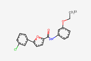 CCOC(=O)COc1cccc(NC(=O)c2ccc(-c3cccc(Cl)c3)o2)c1